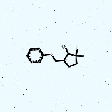 NC1C(COc2ccccc2)CCC1(F)F